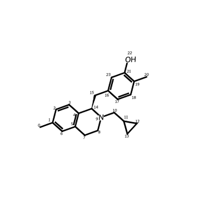 Cc1ccc2c(c1)CCN(CC1CC1)[C@@H]2Cc1ccc(C)c(O)c1